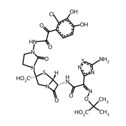 CC(C)(O/N=C(\C(=O)N[C@@H]1C(=O)N2C[C@@](C(=O)O)(N3CCN(NC(=O)C(=O)c4ccc(O)c(O)c4Cl)C3=O)S[C@H]12)c1nsc(N)n1)C(=O)O